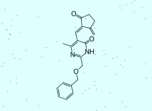 C=C1CCC(=O)/C1=C/c1c(C)nc(COCc2ccccc2)[nH]c1=O